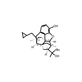 CC(C)(C)C(C)(O)[C@H]1C[C@@]23CC[C@@]1(C)[C@@H]1Oc4c(O)ccc5c4[C@@]12CC[N@+](C)(CC1CC1)[C@@H]3C5